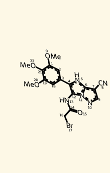 COc1cc(-c2[nH]c3c(C#N)cnn3c2NC(=O)CBr)cc(OC)c1OC